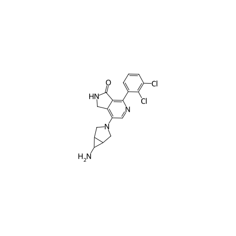 NC1C2CN(c3cnc(-c4cccc(Cl)c4Cl)c4c3CNC4=O)CC12